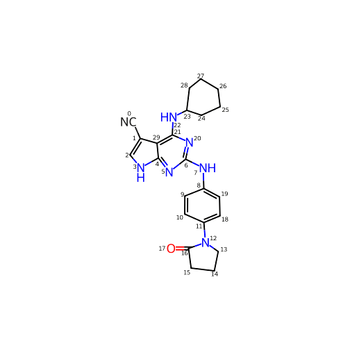 N#Cc1c[nH]c2nc(Nc3ccc(N4CCCC4=O)cc3)nc(NC3CCCCC3)c12